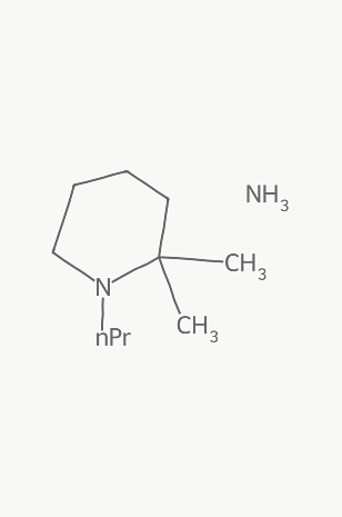 CCCN1CCCCC1(C)C.N